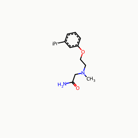 CC(C)c1cccc(OCCN(C)CC(N)=O)c1